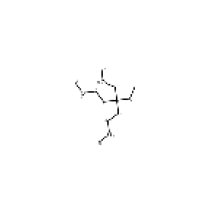 CCC(CCOC)(CCOC)COC